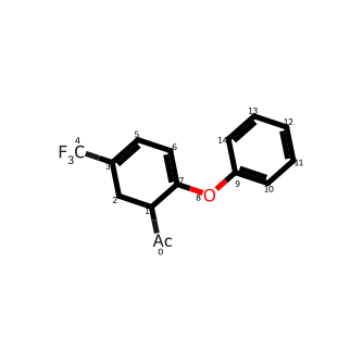 CC(=O)C1CC(C(F)(F)F)=CC=C1Oc1ccccc1